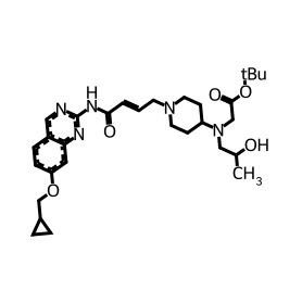 CC(O)CN(CC(=O)OC(C)(C)C)C1CCN(CC=CC(=O)Nc2ncc3ccc(OCC4CC4)cc3n2)CC1